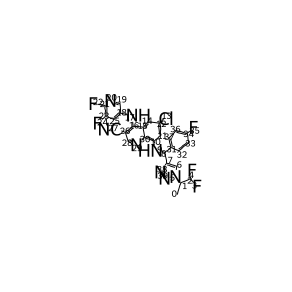 CC(C(F)F)n1cc([C@@H](Nc2cc(Cl)cc3c(Nc4cnc(F)c(F)c4)c(C#N)cnc23)c2ccc(F)cc2)nn1